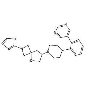 c1ccc(C2CCN(C3COC4(C3)CN(c3ncco3)C4)CC2)c(-c2cncnc2)c1